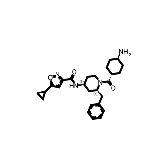 N[C@H]1CC[C@H](C(=O)N2CC[C@H](NC(=O)c3cc(C4CC4)on3)C[C@@H]2Cc2ccccc2)CC1